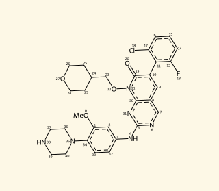 COc1cc(Nc2ncc3cc(-c4c(F)cccc4Cl)c(=O)n(OCC4CCOCC4)c3n2)ccc1N1CCNCC1